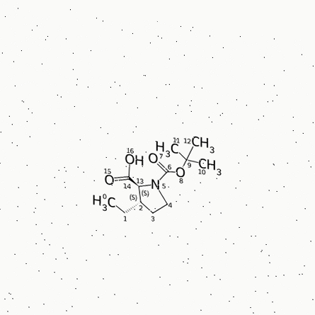 CC[C@H]1CCN(C(=O)OC(C)(C)C)[C@@H]1C(=O)O